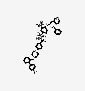 O=C(NS(=O)(=O)c1ccc(N[C@@H](CSc2ccccc2)Cc2cccnc2)c([N+](=O)[O-])c1)c1ccc(N2CCN(Cc3ccccc3-c3ccc(Cl)cc3)CC2)cc1